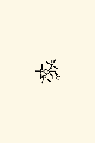 C[PH](C)(C)[Co]([I])([CH]=O)([PH](C)(C)C)[PH](C)(C)C